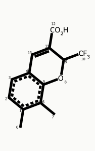 Cc1ccc2c(c1C)OC(C(F)(F)F)C(C(=O)O)=C2